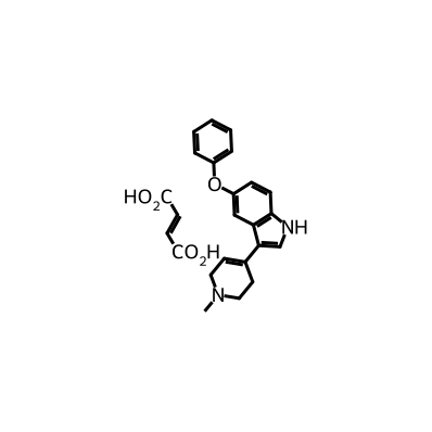 CN1CC=C(c2c[nH]c3ccc(Oc4ccccc4)cc23)CC1.O=C(O)/C=C/C(=O)O